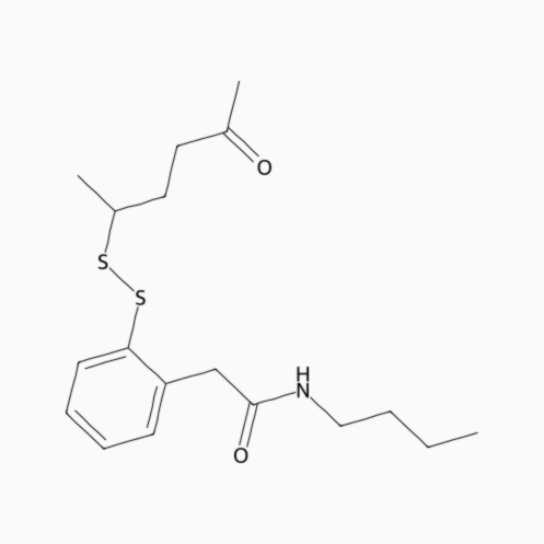 CCCCNC(=O)Cc1ccccc1SSC(C)CCC(C)=O